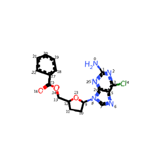 Nc1nc(Cl)c2ncn(C3CCC(COC(=O)c4ccccc4)O3)c2n1